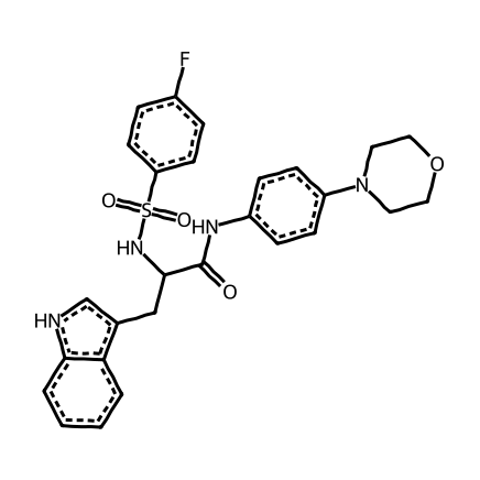 O=C(Nc1ccc(N2CCOCC2)cc1)C(Cc1c[nH]c2ccccc12)NS(=O)(=O)c1ccc(F)cc1